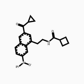 CC(C)[S+]([O-])c1ccc2cc(C(=O)C3CC3)cc(CCNC(=O)C3CCC3)c2c1